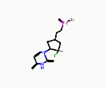 C=C1C=CN(C2CC(CC[PH](=C)C(C)C)C[C@@]2(C)F)C(=C)N1